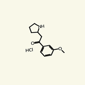 COc1cccc(C(=O)CC2CCCN2)c1.Cl